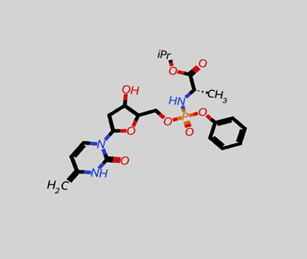 C=C1C=CN(C2CC(O)C(COP(=O)(N[C@@H](C)C(=O)OC(C)C)Oc3ccccc3)O2)C(=O)N1